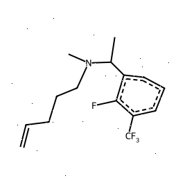 C=CCCCN(C)C(C)c1cccc(C(F)(F)F)c1F